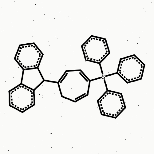 C1=CC(S(c2ccccc2)(c2ccccc2)c2ccccc2)=CC=C(C2c3ccccc3-c3ccccc32)C1